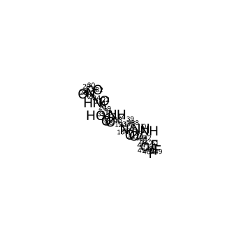 CN[C@H](C(=O)NC(C(=O)N(C)C/C=C(\C)C(=O)N[C@H](CCC(=O)NCCN1C(=O)C=CC1=O)C(=O)O)C(C)(C)C)C(C)(C)c1cccc(C(F)(F)F)c1